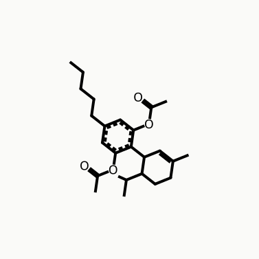 CCCCCc1cc(OC(C)=O)c(C2C=C(C)CCC2C(C)C)c(OC(C)=O)c1